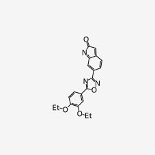 CCOc1ccc(-c2nc(-c3ccc4c(c3)=NC(=O)C=4)no2)cc1OCC